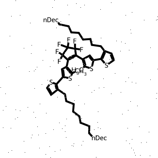 CCCCCCCCCCCCCCCCCCc1ccsc1-c1cc(C2=C(c3cc(-c4sccc4CCCCCCCCCCCCCCCCCC)sc3C)C(F)(F)C(F)(F)C2(F)F)c(C)s1